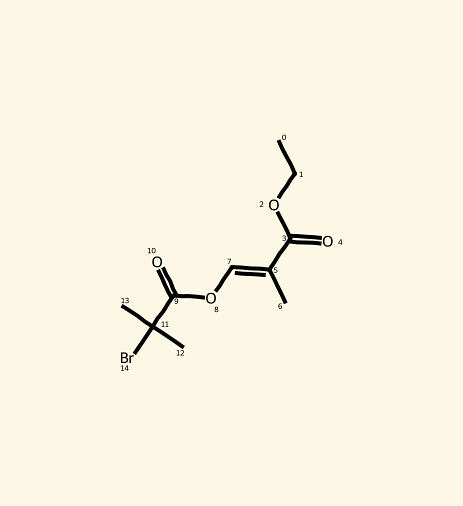 CCOC(=O)C(C)=COC(=O)C(C)(C)Br